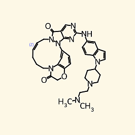 CN(C)CCN1CCC(n2ccc3cc(Nc4ncc5c(=O)n6n(c5n4)-c4ccc5c(c4)N(CCC/C=C\C6)C(=O)CO5)ccc32)CC1